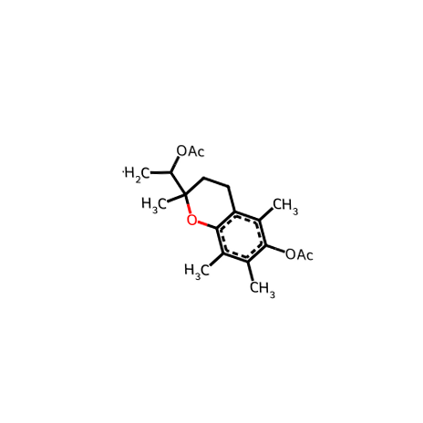 [CH2]C(OC(C)=O)C1(C)CCc2c(C)c(OC(C)=O)c(C)c(C)c2O1